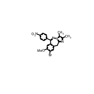 COc1cc2c(cc1Br)Cc1nc(C)c(C)n1N=C2c1ccc([N+](=O)[O-])cc1